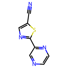 N#Cc1cnc(-c2cnccn2)s1